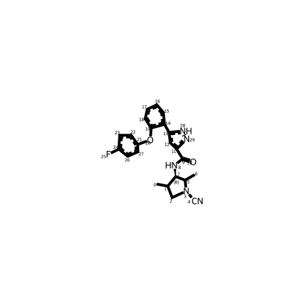 CC1CN(C#N)C(C)[C@@H]1NC(=O)c1cc(-c2ccccc2Oc2ccc(F)cc2)[nH]n1